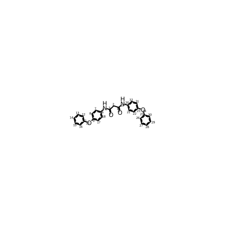 O=C(CC(=O)Nc1ccc(Oc2ccccc2)cc1)Nc1ccc(Oc2ccccc2)cc1